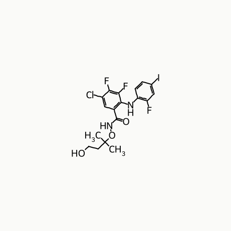 CC(C)(CCO)ONC(=O)c1cc(Cl)c(F)c(F)c1Nc1ccc(I)cc1F